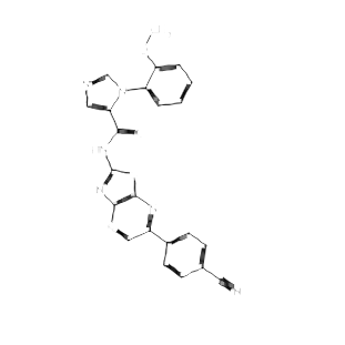 COc1ccccc1-n1cncc1C(=O)Nc1nc2ncc(-c3ccc(C#N)cc3)nc2s1